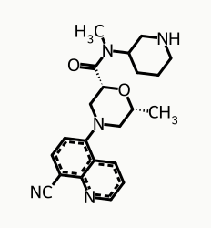 C[C@@H]1CN(c2ccc(C#N)c3ncccc23)C[C@H](C(=O)N(C)C2CCCNC2)O1